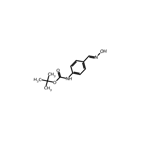 CC(C)(C)OC(=O)Nc1ccc(/C=N/O)cc1